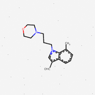 Cc1cccc2c(C=O)cn(CCCN3CCOCC3)c12